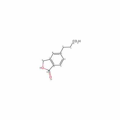 O=C(O)CCc1ccc2c(c1)COC2=O